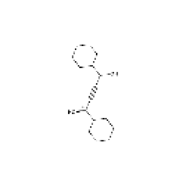 OC(C#C[C@H](O)C1CCCCC1)C1CCCCC1